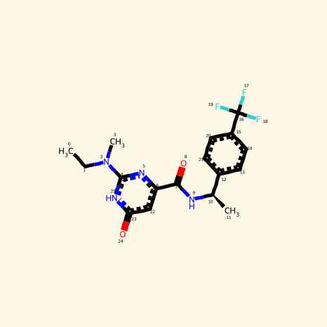 CCN(C)c1nc(C(=O)N[C@H](C)c2ccc(C(F)(F)F)cc2)cc(=O)[nH]1